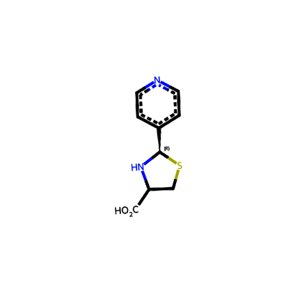 O=C(O)C1CS[C@H](c2ccncc2)N1